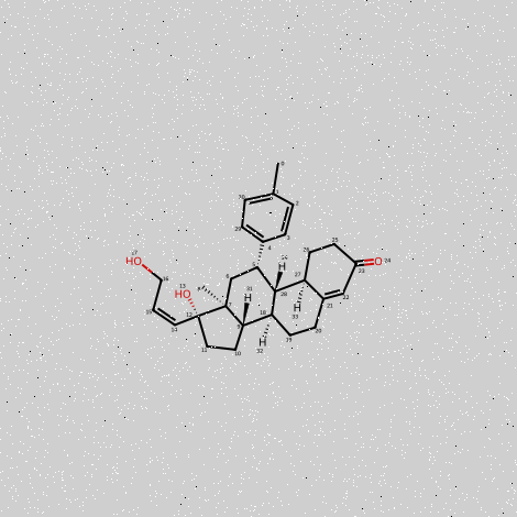 Cc1ccc([C@H]2C[C@@]3(C)[C@@H](CC[C@@]3(O)/C=C\CO)[C@@H]3CCC4=CC(=O)CC[C@@H]4[C@H]32)cc1